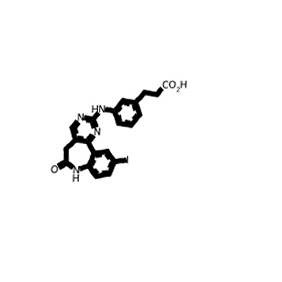 O=C(O)CCc1cccc(Nc2ncc3c(n2)-c2cc(I)ccc2NC(=O)C3)c1